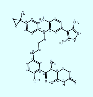 Cc1ccc(-c2c(C)noc2C)cc1N(CCCNc1ccc(C=O)c(C(=O)N(C)C2CCC(=O)NC2=O)c1)c1ccc(C2(C#N)CC2)cc1